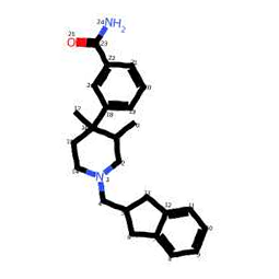 CC1CN(CC2Cc3ccccc3C2)CCC1(C)c1cccc(C(N)=O)c1